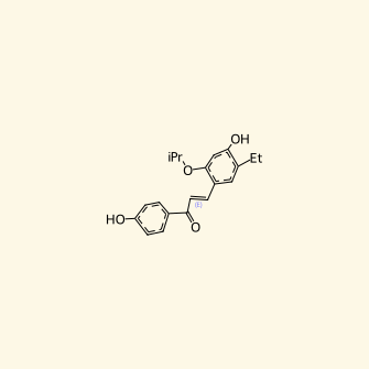 CCc1cc(/C=C/C(=O)c2ccc(O)cc2)c(OC(C)C)cc1O